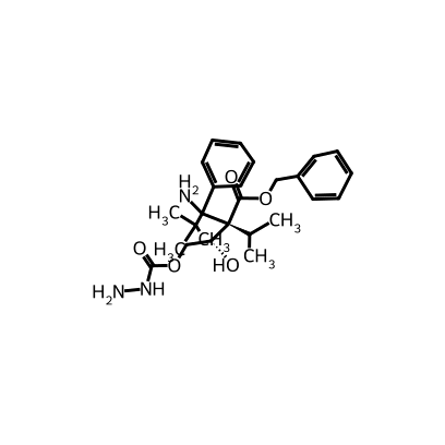 CC(C)[C@@](C(=O)OCc1ccccc1)([C@H](O)COC(=O)NN)C(N)(c1ccccc1)C(C)(C)C